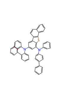 c1ccc(-c2ccc(N(c3ccccc3)c3cc(N(c4ccccc4)c4ccccc4-c4ccccc4)cc4c3sc3c5ccccc5ccc43)cc2)cc1